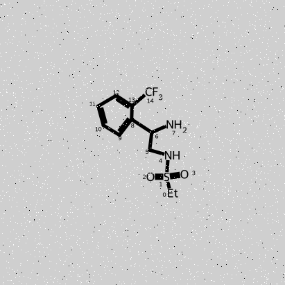 CCS(=O)(=O)NCC(N)c1ccccc1C(F)(F)F